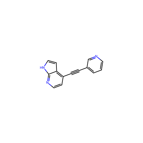 C(#Cc1ccnc2[nH]ccc12)c1cccnc1